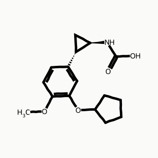 COc1ccc([C@@H]2C[C@H]2NC(=O)O)cc1OC1CCCC1